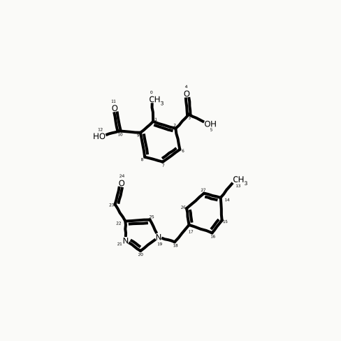 Cc1c(C(=O)O)cccc1C(=O)O.Cc1ccc(Cn2cnc(C=O)c2)cc1